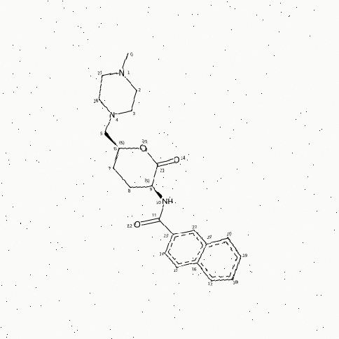 CN1CCN(C[C@@H]2CC[C@H](NC(=O)c3ccc4ccccc4c3)C(=O)O2)CC1